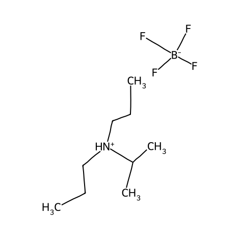 CCC[NH+](CCC)C(C)C.F[B-](F)(F)F